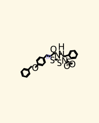 O=C1/C(=C/c2ccc(OCc3ccccc3)cc2)SC(=S)N1NC1=NS(=O)(=O)c2ccccc21